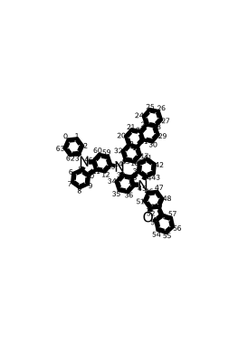 c1ccc(-n2c3ccccc3c3cc(N(c4ccc5c(ccc6c7ccccc7ccc56)c4)c4cccc5c4c4ccccc4n5-c4ccc5c(c4)oc4ccccc45)ccc32)cc1